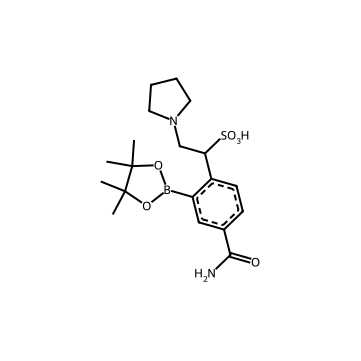 CC1(C)OB(c2cc(C(N)=O)ccc2C(CN2CCCC2)S(=O)(=O)O)OC1(C)C